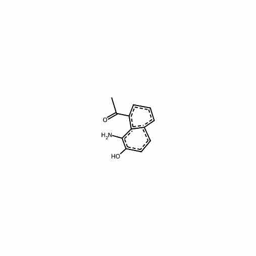 CC(=O)c1cccc2ccc(O)c(N)c12